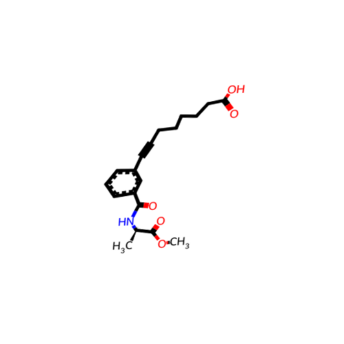 COC(=O)[C@@H](C)NC(=O)c1cccc(C#CCCCCCC(=O)O)c1